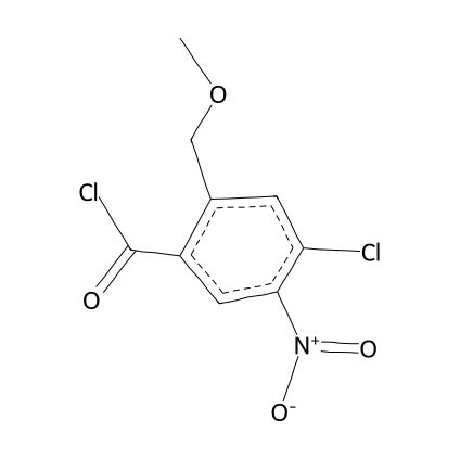 COCc1cc(Cl)c([N+](=O)[O-])cc1C(=O)Cl